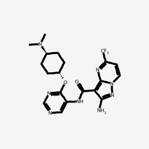 CN(C)[C@H]1CC[C@H](Oc2ncncc2NC(=O)c2c(N)nn3ccc(C(F)(F)F)nc23)CC1